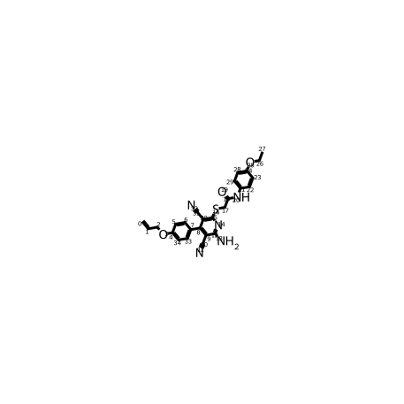 C=CCOc1ccc(-c2c(C#N)c(N)nc(SCC(=O)Nc3ccc(OCC)cc3)c2C#N)cc1